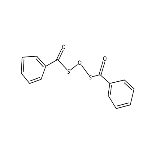 O=C(SOSC(=O)c1ccccc1)c1ccccc1